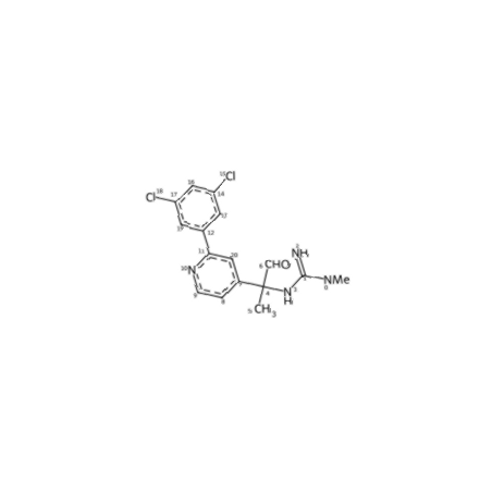 CNC(=N)NC(C)(C=O)c1ccnc(-c2cc(Cl)cc(Cl)c2)c1